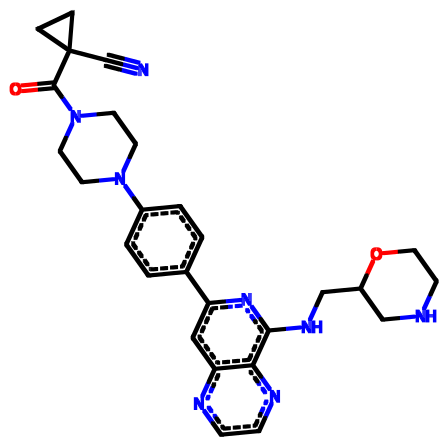 N#CC1(C(=O)N2CCN(c3ccc(-c4cc5nccnc5c(NCC5CNCCO5)n4)cc3)CC2)CC1